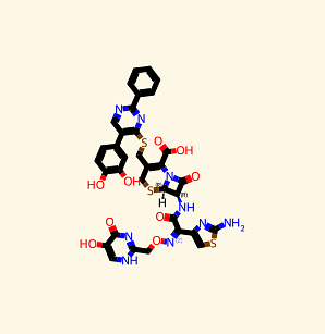 Nc1nc(/C(=N/OCc2nc(=O)c(O)c[nH]2)C(=O)N[C@@H]2C(=O)N3C(C(=O)O)=C(CSc4nc(-c5ccccc5)ncc4-c4ccc(O)c(O)c4)CS[C@H]23)cs1